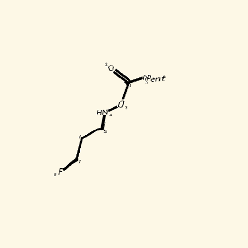 CCCCCC(=O)ONCCCF